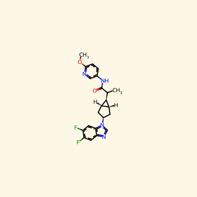 COc1ccc(NC(=O)C(C)[C@H]2[C@@H]3C[C@@H](n4cnc5cc(F)c(F)cc54)C[C@@H]32)cn1